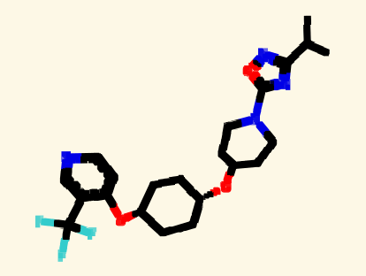 CC(C)c1noc(N2CCC(O[C@H]3CC[C@H](Oc4ccncc4C(F)(F)F)CC3)CC2)n1